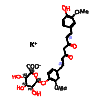 COc1cc(/C=C/C(=O)CC(=O)/C=C/c2ccc(O[C@@H]3O[C@H](C(=O)[O-])[C@@H](O)[C@H](O)[C@H]3O)c(OC)c2)ccc1O.[K+]